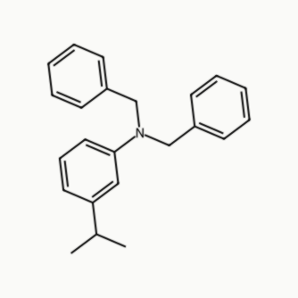 CC(C)c1cccc(N(Cc2ccccc2)Cc2ccccc2)c1